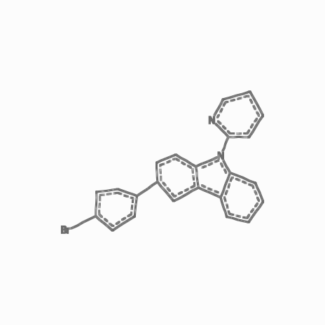 Brc1ccc(-c2ccc3c(c2)c2ccccc2n3-c2ccccn2)cc1